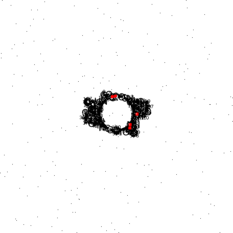 COC(=O)[C@H]1NC(=O)[C@H](Cc2ccc3ccccc3c2)NC(=O)[C@@H]2[C@@H](CCN2C(=O)[C@@H](NC(=O)[C@H](C)N(C)C(=O)OC(C)(C)C)C(C)(C)C)n2cc(nn2)COc2ccc(cc2)C[C@@H](C(=O)O)NC(=O)[C@H](Cc2ccc3ccccc3c2)NC(=O)[C@@H]2C(CCN2C(=O)[C@@H](NC(=O)[C@H](C)N(C)C(=O)OC(C)(C)C)C(C)(C)C)n2cc(nn2)COc2ccc1cc2